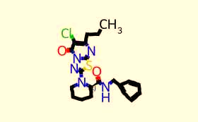 CCCc1nc2sc(N3CCCC[C@@H]3C(=O)NCc3ccccc3)nn2c(=O)c1Cl